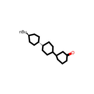 CCCC[C@H]1CC[C@H](C2CCC(C3CCCC(=O)C3)CC2)CC1